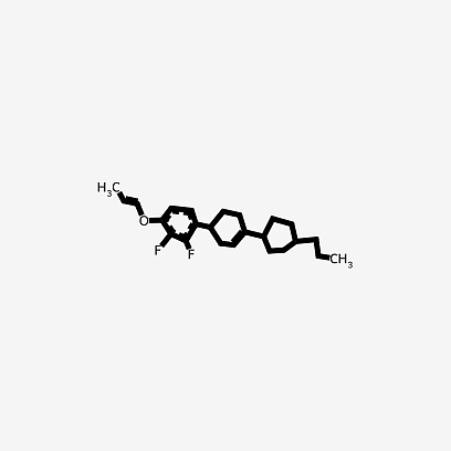 C/C=C/Oc1ccc(C2CC=C(C3CCC(CCC)CC3)CC2)c(F)c1F